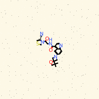 CC1(C)COC12CN(c1ccc3nccc(C(=O)NCC(=O)N4CSC[C@H]4C#N)c3c1)C2